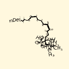 CCCCCCCCCCCCC/C=C\CCC/C=C\CCCC(O)(C[N+](C)(C)C)P(=O)(O)O